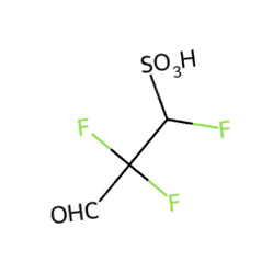 O=CC(F)(F)C(F)S(=O)(=O)O